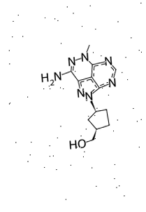 CN1N=C(N)c2nn([C@H]3CC[C@@H](CO)C3)c3ncnc1c23